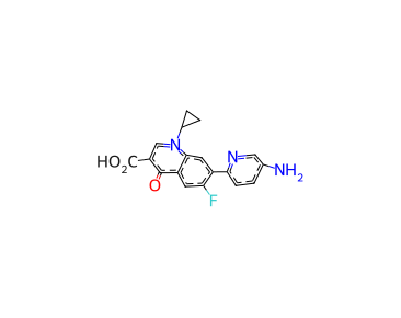 Nc1ccc(-c2cc3c(cc2F)c(=O)c(C(=O)O)cn3C2CC2)nc1